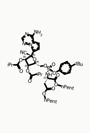 CCCCCOC(=O)C[C@H](N[P@@](=O)(OC[C@H]1O[C@@](C#N)(c2ccc3c(N)ncnn23)[C@H](OC(=O)C(C)C)[C@@H]1OC(=O)C(C)C)Oc1ccc(C(C)(C)C)cc1)C(=O)OCCCCC